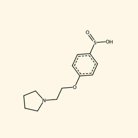 O=S(O)c1ccc(OCCN2CCCC2)cc1